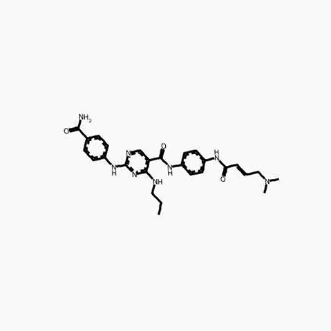 CCCNc1nc(Nc2ccc(C(N)=O)cc2)ncc1C(=O)Nc1ccc(NC(=O)/C=C/CN(C)C)cc1